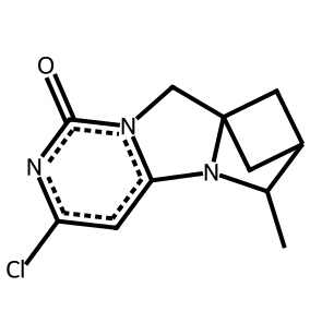 CC1C2CC3(C2)Cn2c(cc(Cl)nc2=O)N13